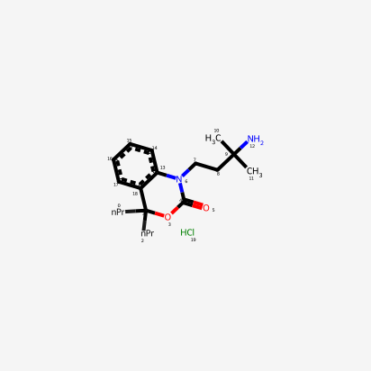 CCCC1(CCC)OC(=O)N(CCC(C)(C)N)c2ccccc21.Cl